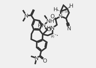 C=C(c1ccc2c(c1)CCc1cc(C(=O)N(C)C)ccc1C2(C[C@@H](C)NCC(=O)N1C(C#N)C[C@@H]2C[C@@H]21)C(=O)NNC)N(C)C